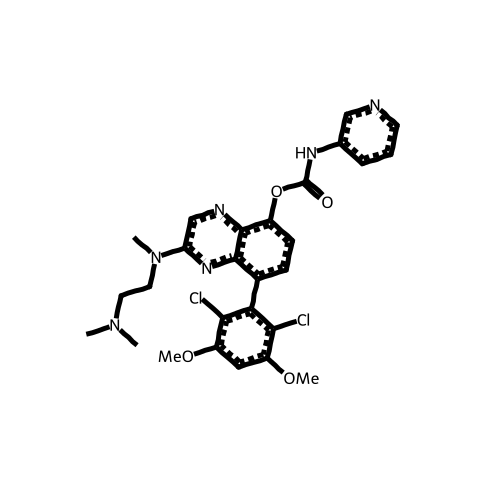 COc1cc(OC)c(Cl)c(-c2ccc(OC(=O)Nc3cccnc3)c3ncc(N(C)CCN(C)C)nc23)c1Cl